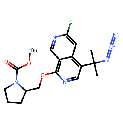 CC(C)(C)OC(=O)N1CCCC1COc1ncc(C(C)(C)N=[N+]=[N-])c2cc(Cl)ncc12